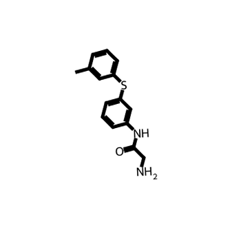 Cc1cccc(Sc2cccc(NC(=O)CN)c2)c1